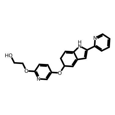 OCCOc1ccc(OC2C=c3cc(-c4ccccn4)[nH]c3=CC2)cn1